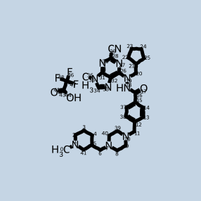 CN1CCCC(CN2CCN(Cc3ccc(C(=O)NN(CC4CCCC4)c4nc(C#N)nc5c4ncn5C)cc3)CC2)C1.O=C(O)C(F)(F)F